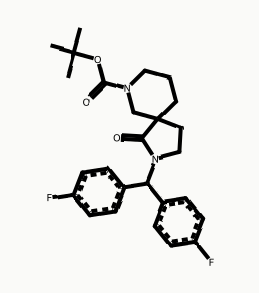 CC(C)(C)OC(=O)N1CCCC2(CCN(C(c3ccc(F)cc3)c3ccc(F)cc3)C2=O)C1